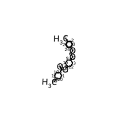 Cc1ccc(OCOC2CCC(OC(=O)C3CCC(C)CC3)CC2)cc1